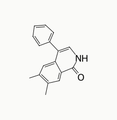 Cc1cc2c(-c3ccccc3)c[nH]c(=O)c2cc1C